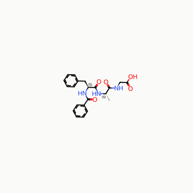 C[C@H](NC(=O)[C@H](Cc1ccccc1)NC(=O)c1ccccc1)C(=O)NCC(=O)O